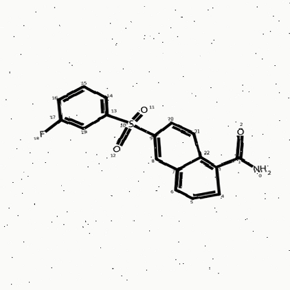 NC(=O)c1cccc2cc(S(=O)(=O)c3cccc(F)c3)ccc12